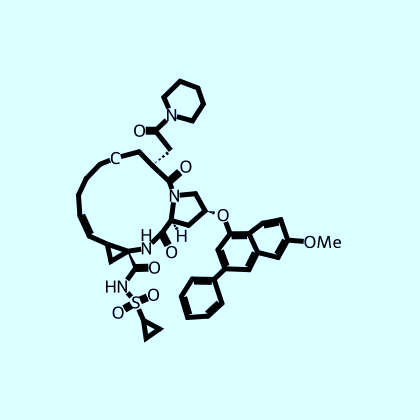 COc1ccc2c(O[C@@H]3C[C@H]4C(=O)N[C@]5(C(=O)NS(=O)(=O)C6CC6)CC5C=CCCCCC[C@H](CC(=O)N5CCCCC5)C(=O)N4C3)cc(-c3ccccc3)cc2c1